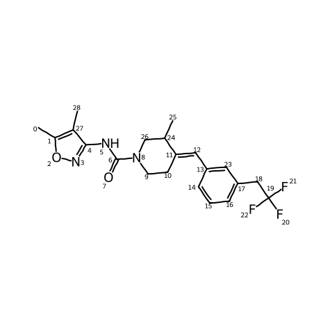 Cc1onc(NC(=O)N2CCC(=Cc3cccc(CC(F)(F)F)c3)C(C)C2)c1C